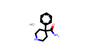 Cl.NC(=O)C1(c2ccccc2)CCNCC1